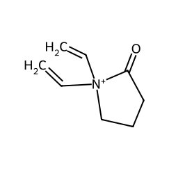 C=C[N+]1(C=C)CCCC1=O